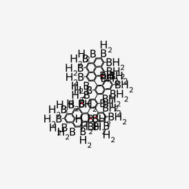 Bc1c(B)c(B)c(-c2c(B)c(-c3c(B)c(-c4c(B)c(B)c5c(B)c(B)c6c(B)c(B)c(B)c7c(B)c(B)c4c5c67)c4c(B)c(B)c(B)c(B)c4c3B)c(B)c(B)c2-c2c(B)c(B)c3c(B)c(B)c4c(B)c(B)c(B)c5c(B)c(B)c2c3c45)c(B)c1B